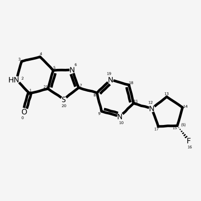 O=C1NCCc2nc(-c3cnc(N4CC[C@H](F)C4)cn3)sc21